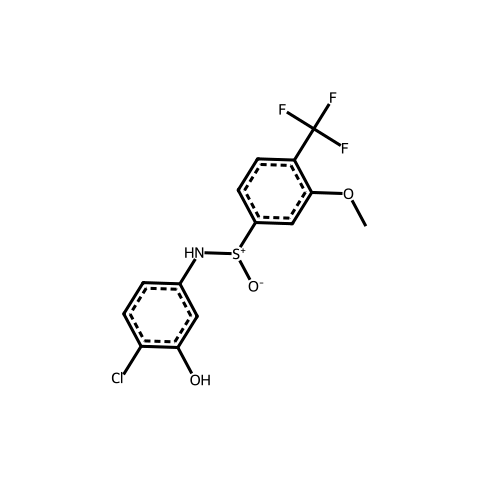 COc1cc([S+]([O-])Nc2ccc(Cl)c(O)c2)ccc1C(F)(F)F